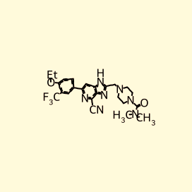 CCOc1ccc(-c2cc3[nH]c(CN4CCN(C(=O)N(C)C)CC4)nc3c(C#N)n2)cc1C(F)(F)F